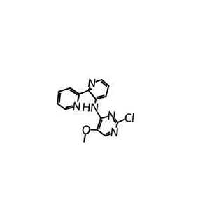 COc1cnc(Cl)nc1Nc1cccnc1-c1ccccn1